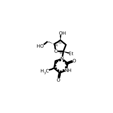 CC[C@]1(n2cc(C)c(=O)[nH]c2=O)C[C@H](O)[C@@H](CO)O1